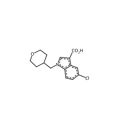 O=C(O)c1cn(CC2CCOCC2)c2ccc(Cl)cc12